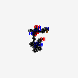 Cc1ncsc1-c1ccc(CNC(=O)[C@@H]2C[C@@H](O)CN2C(=O)[C@@H](NC(=O)CCCCC#Cc2cccc(Cn3c(-c4ccccc4)c(-c4ccccc4)c4c(=N)n(C5CCC(O)CC5)cnc43)c2)C(C)(C)C)cc1